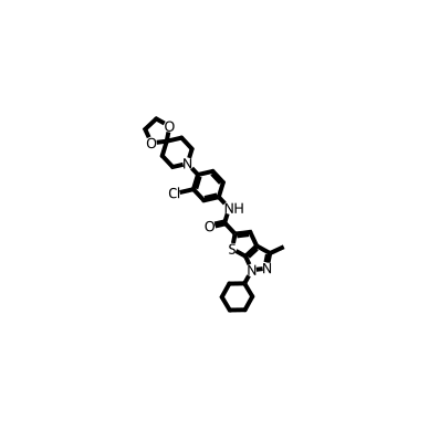 Cc1nn(C2CCCCC2)c2sc(C(=O)Nc3ccc(N4CCC5(CC4)OCCO5)c(Cl)c3)cc12